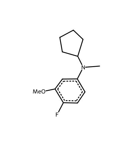 COc1cc(N(C)C2CCCC2)ccc1F